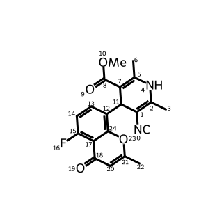 [C-]#[N+]C1=C(C)NC(C)=C(C(=O)OC)C1c1ccc(F)c2c(=O)cc(C)oc12